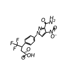 NC(=O)c1nn(-c2ccc(C(CS(=O)(=O)O)C(F)(F)F)cc2)cc1[N+](=O)[O-]